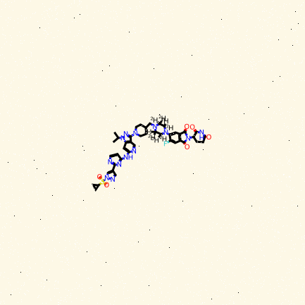 [2H]C1([2H])N(CC2CCN(c3nn(C(C)C)c4cc(Nc5ccnc(-c6cnn(S(=O)(=O)C7CC7)c6)n5)ncc34)CC2)C([2H])([2H])C([2H])([2H])N(c2cc3c(cc2F)C(=O)N(C2CCC(=O)NC2=O)C3=O)C1([2H])[2H]